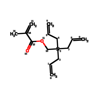 C=CC[Si](CC=C)(CC=C)COC(=O)C(=C)C